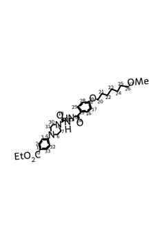 CCOC(=O)c1ccc(N2CCN(C(=O)NNC(=O)c3ccc(OCCCCCCCOC)cc3)CC2)cc1